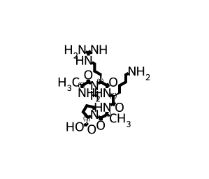 C[C@H](N)C(=O)N[C@@H](CCCNC(=N)N)C(=O)N[C@@H](CCCCN)C(=O)N[C@@H](C)C(=O)N1CCC[C@H]1C(=O)O